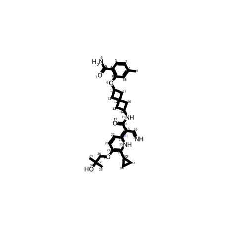 Cc1ccc(C(N)=O)c(OC2CC3(CC(NC(=O)/C(C=N)=C4\C=CC(OCC(C)(C)O)=C(C5CC5)N4)C3)C2)c1